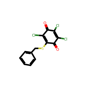 O=C1C(Cl)=C(Cl)C(=O)C(SCc2ccccc2)=C1Cl